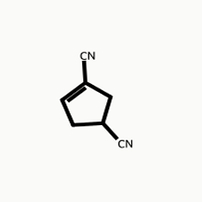 N#CC1=CCC(C#N)C1